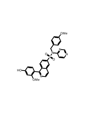 COc1ccc(CN(c2ccncn2)S(=O)(=O)c2ccc3c(-c4ccc(O)cc4OC)nccc3c2)cc1